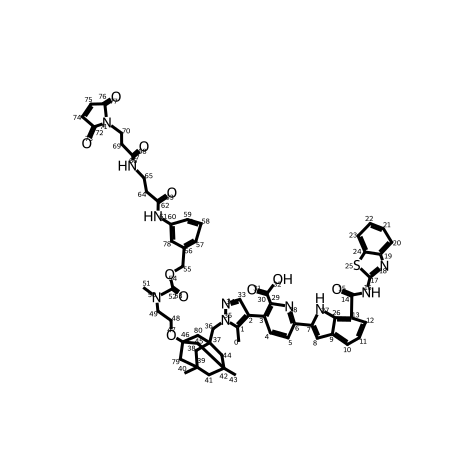 Cc1c(-c2ccc(-c3cc4cccc(C(=O)Nc5nc6ccccc6s5)c4[nH]3)nc2C(=O)O)cnn1CC12CC3(C)CC(C)(C1)CC(OCCN(C)C(=O)OCc1cc[c]c(NC(=O)CCNC(=O)CCN4C(=O)C=CC4=O)c1)(C3)C2